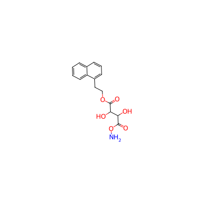 NOC(=O)C(O)C(O)C(=O)OCCc1cccc2ccccc12